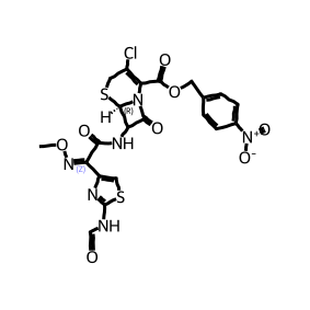 CO/N=C(\C(=O)NC1C(=O)N2C(C(=O)OCc3ccc([N+](=O)[O-])cc3)=C(Cl)CS[C@H]12)c1csc(NC=O)n1